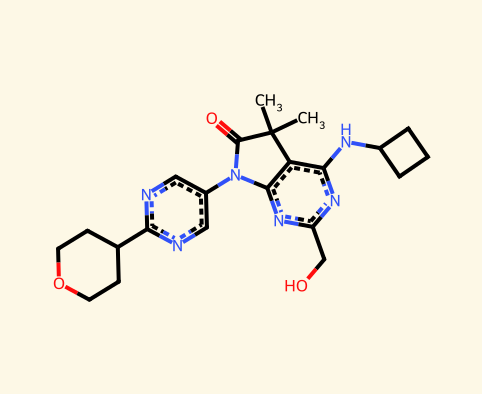 CC1(C)C(=O)N(c2cnc(C3CCOCC3)nc2)c2nc(CO)nc(NC3CCC3)c21